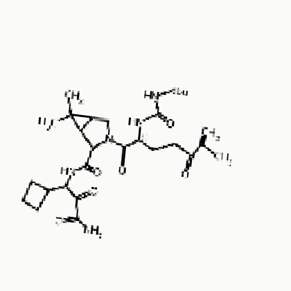 C=C(C)C(=O)CC[C@H](NC(=O)NC(C)(C)C)C(=O)N1CC2C(C1C(=O)NC(C(=O)C(N)=O)C1CCC1)C2(C)C